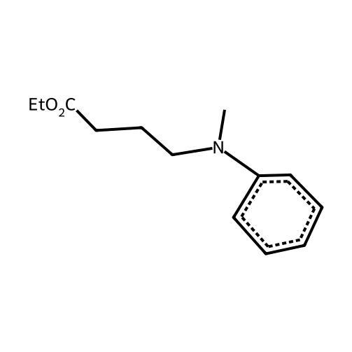 CCOC(=O)CCCN(C)c1ccccc1